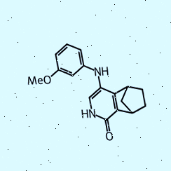 COc1cccc(Nc2c[nH]c(=O)c3c2C2CCC3C2)c1